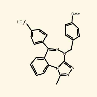 COc1ccc(CN2N=C(c3ccc(C(=O)O)cc3)c3ccccc3-n3c(C)nnc32)cc1